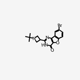 CC(C)(C)N1CC(c2nc3c(oc4ccc(Br)cc43)c(=O)[nH]2)C1